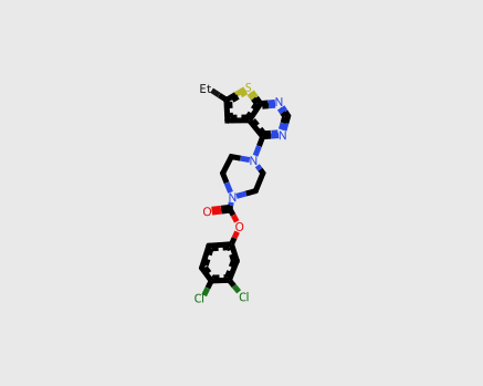 CCc1cc2c(N3CCN(C(=O)Oc4ccc(Cl)c(Cl)c4)CC3)ncnc2s1